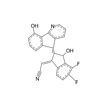 N#C/C=C1/C(=C2/c3cccnc3-c3c(O)cccc32)C(O)c2c1ccc(F)c2F